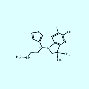 CNCC[C@@H](c1ccsc1)N1CC(C)(C)c2nc(C)c(F)cc21